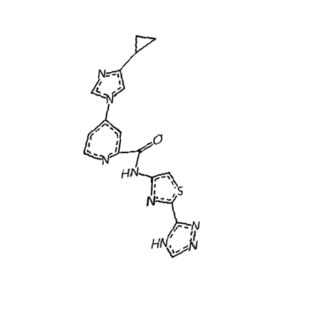 O=C(Nc1csc(-c2nnc[nH]2)n1)c1cc(-n2cnc(C3CC3)c2)ccn1